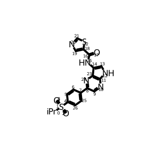 CC(C)S(=O)(=O)c1ccc(-c2cnc3[nH]cc(NC(=O)c4cncs4)c3n2)cc1